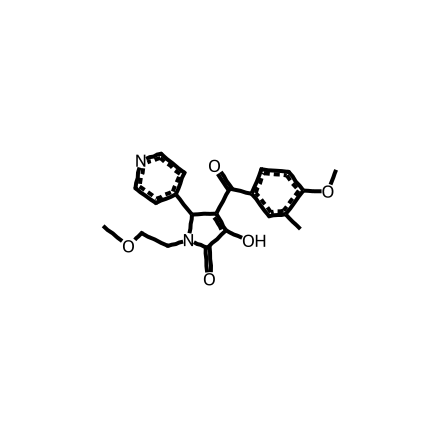 COCCN1C(=O)C(O)=C(C(=O)c2ccc(OC)c(C)c2)C1c1ccncc1